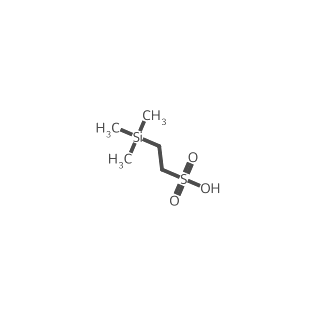 C[Si](C)(C)CCS(=O)(=O)O